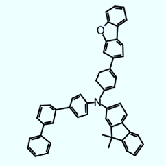 CC1(C)c2ccccc2-c2ccc(N(C3=CC=C(c4ccc5c(c4)oc4ccccc45)CC3)c3ccc(-c4cccc(-c5ccccc5)c4)cc3)cc21